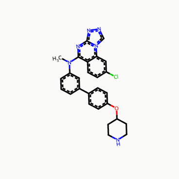 CN(c1cccc(-c2ccc(OC3CCNCC3)cc2)c1)c1nc2nncn2c2cc(Cl)ccc12